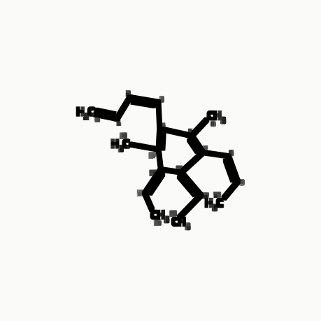 C=C/C=C\c1c(C)c(/C=C\C)c(=C/C)/c(=C\C)c1C